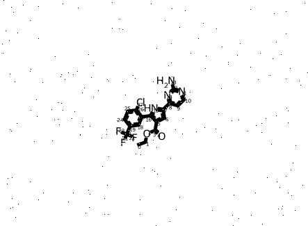 CCOC(=O)c1cc(-c2ccnc(N)n2)[nH]c1-c1cc(C(F)(F)F)ccc1Cl